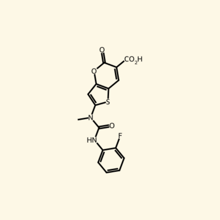 CN(C(=O)Nc1ccccc1F)c1cc2oc(=O)c(C(=O)O)cc2s1